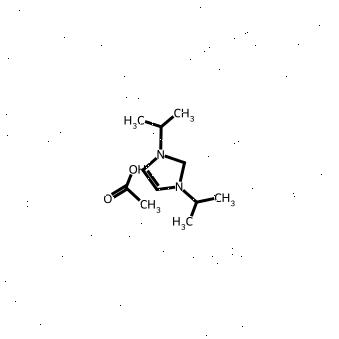 CC(=O)O.CC(C)N1C=CN(C(C)C)C1